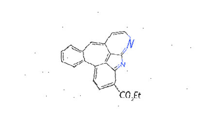 CCOC(=O)c1ccc2c3c1nc1nccc(cc4ccccc42)c1=3